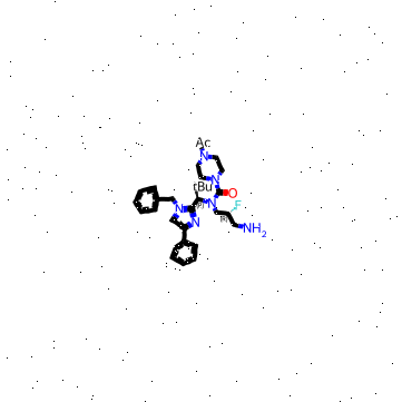 CC(=O)N1CCN(C(=O)N(C[C@H](F)CN)[C@@H](c2nc(-c3ccccc3)cn2Cc2ccccc2)C(C)(C)C)CC1